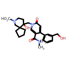 CN(C)C(=O)c1cn(CC2(O)CCN(C(=O)O)CC23CCCC3)c(=O)cc1-c1cccc(CO)c1